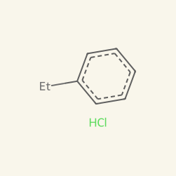 CCc1ccccc1.Cl